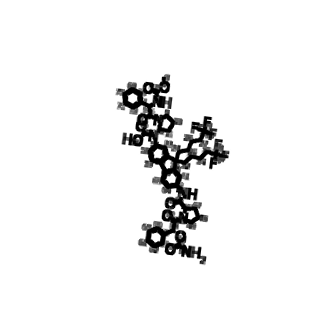 COC(=O)NC(C(=O)N1CCCC1N(C(=O)O)c1ccc2c(c1)C(CCCCC(F)(F)F)(CCCCC(F)(F)F)c1cc(NC(=O)C3CCCN3C(=O)[C@H](OC(N)=O)c3ccccc3)ccc1-2)c1ccccc1